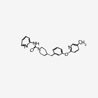 Cc1ccc(Oc2cccc(CC3CCN(C(=O)Nc4ccccn4)CC3)c2)nc1